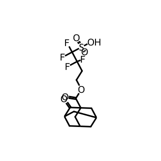 O=C(OCCC(F)(F)C(F)(F)S(=O)(=O)O)C12CC3CC(CC(C3)C1=O)C2